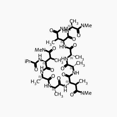 CNC(=O)C(C)[C@H](NC(=O)C(C)C)C(=O)N[C@@H](C)C(=O)N[C@@H](C)C(=O)N[C@H](C(=O)N[C@@H](C)C(=O)N[C@@H](C)C(=O)N[C@H](C(=O)N[C@@H](C)C(=O)NC)C(C)C(=O)NC)C(C)C(=O)NC